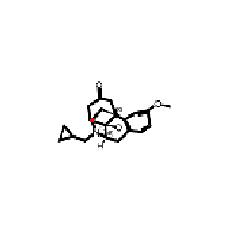 COc1ccc2c(c1)[C@]13CCN(CC4CC4)[C@H](C2)[C@]1(OC)CCC(=O)C3